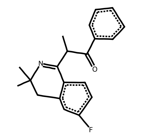 CC(C(=O)c1ccccc1)C1=NC(C)(C)Cc2cc(F)ccc21